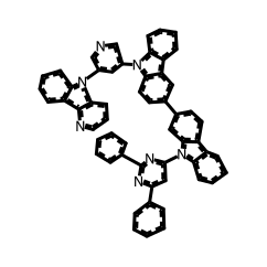 c1ccc(-c2cc(-n3c4ccccc4c4ccc(-c5ccc6c(c5)c5ccccc5n6-c5cncc(-n6c7ccccc7c7ncccc76)c5)cc43)nc(-c3ccccc3)n2)cc1